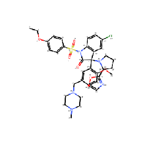 CCOc1ccc(S(=O)(=O)N2C(=O)C(c3cc(CN4CCN(C)CC4)ccc3OC)(N3CCC[C@H]3c3ncco3)c3cc(Cl)ccc32)cc1